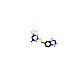 Cc1cc(O)nc(SCc2ccc3nccnc3c2)n1